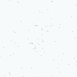 CS(=O)(=O)c1ccc(Oc2cc(F)cc(C#N)c2)c2c1[S+]([O-])C(F)(F)[C@H]2F